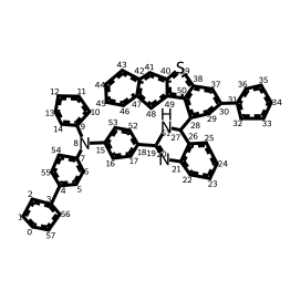 c1ccc(-c2ccc(N(c3ccccc3)c3ccc(C4=Nc5ccccc5C(c5cc(-c6ccccc6)cc6sc7cc8ccccc8cc7c56)N4)cc3)cc2)cc1